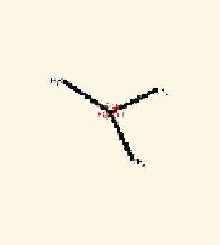 CCCCCCCCC=CCCCCCCCC(=O)C(O)(C(O)C(=O)CCCCCCCCCCCCCCC)C(O)C(=O)CCCCCCCCCCCCCCCCC